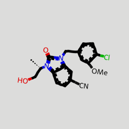 COc1cc(Cn2c(=O)n([C@@H](C)CO)c3ccc(C#N)cc32)ccc1Cl